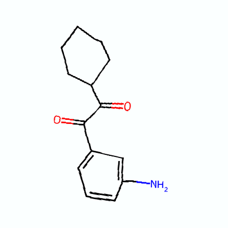 Nc1cccc(C(=O)C(=O)C2CCCCC2)c1